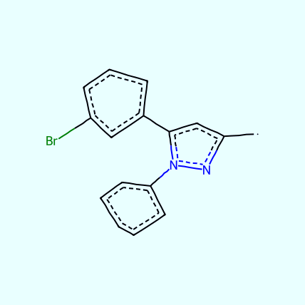 [CH2]c1cc(-c2cccc(Br)c2)n(-c2ccccc2)n1